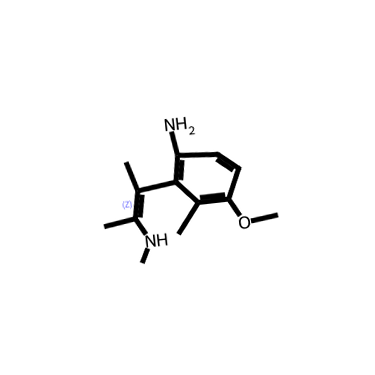 CN/C(C)=C(/C)c1c(N)ccc(OC)c1C